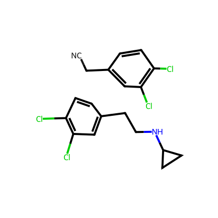 Clc1ccc(CCNC2CC2)cc1Cl.N#CCc1ccc(Cl)c(Cl)c1